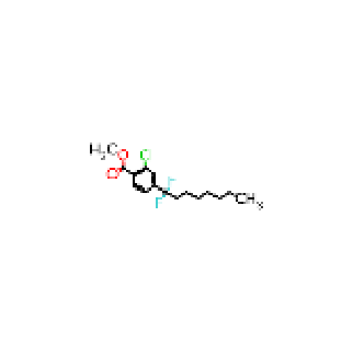 CCCCCCCC(F)(F)c1ccc(C(=O)OC)c(Cl)c1